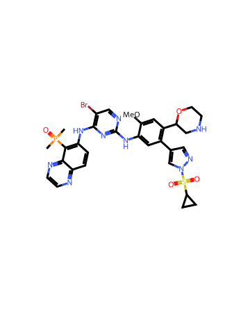 COc1cc(C2CNCCO2)c(-c2cnn(S(=O)(=O)C3CC3)c2)cc1Nc1ncc(Br)c(Nc2ccc3nccnc3c2P(C)(C)=O)n1